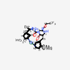 CCC(NC(=O)N1C/C(=N/OCC(F)(F)F)NC[C@@H](Cc2cc(Cl)ccc2OC)C1=O)c1ccc(C(=O)O)c(N)c1